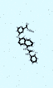 CNC(=O)c1cc(Oc2ccc3c(NC(=O)Nc4ccccc4F)cccc3c2)ccn1